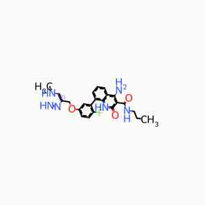 CCCNC(=O)c1c(N)c2cccc(-c3cc(OC/C(=C/NC)N=N)ccc3F)c2[nH]c1=O